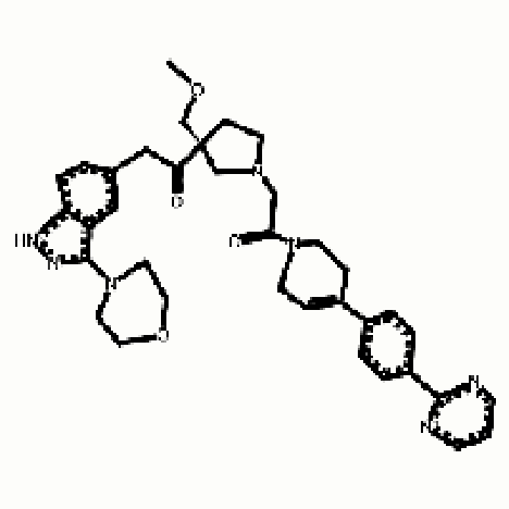 COC[C@@]1(C(=O)Cc2ccc3[nH]nc(N4CCOCC4)c3c2)CCN(CC(=O)N2CC=C(c3ccc(-c4ncccn4)cc3)CC2)C1